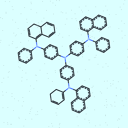 C1=CCCC(N(c2ccc(N(c3ccc(N(C4=C5C=CC=CC5CC=C4)c4ccccc4)cc3)c3ccc(N(c4ccccc4)c4cccc5ccccc45)cc3)cc2)c2cccc3ccccc23)=C1